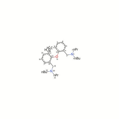 CCCCN(CCC)Cc1cccc(C)c1Oc1c(C)cccc1CN(CCC)CCCC